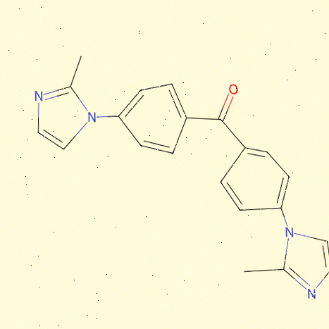 Cc1nccn1-c1ccc(C(=O)c2ccc(-n3ccnc3C)cc2)cc1